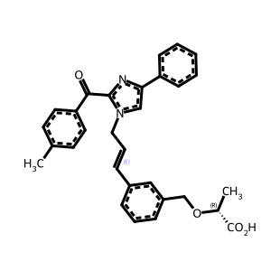 Cc1ccc(C(=O)c2nc(-c3ccccc3)cn2C/C=C/c2cccc(CO[C@H](C)C(=O)O)c2)cc1